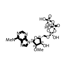 CNc1ncnc2c1ncn2[C@@H]1O[C@H](COP(=O)(O)OP(=O)(O)OP(=O)(O)O)[C@@H](O)[C@H]1OC